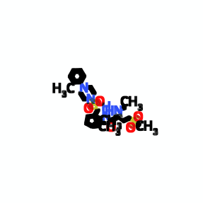 CCN[C@@H](CCS(C)(=O)=O)C(=O)NC1CC2CCC1(CS(=O)(=O)N1CCN(c3ccccc3C)CC1)C2(C)C